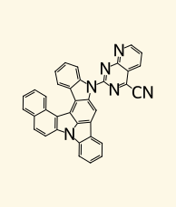 N#Cc1nc(-n2c3ccccc3c3c4c5c6ccccc6ccc5n5c6ccccc6c(cc32)c45)nc2ncccc12